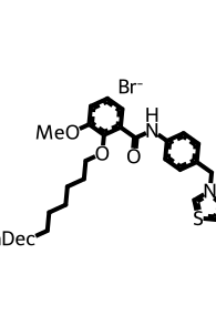 CCCCCCCCCCCCCCCCOc1c(OC)cccc1C(=O)Nc1ccc(C[n+]2ccsc2)cc1.[Br-]